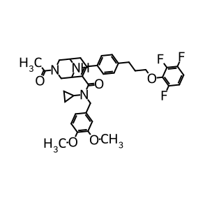 COc1ccc(CN(C(=O)C2=C(c3ccc(CCCOc4c(F)ccc(F)c4F)cc3)CC3CN(C(C)=O)CC2N3)C2CC2)cc1OC